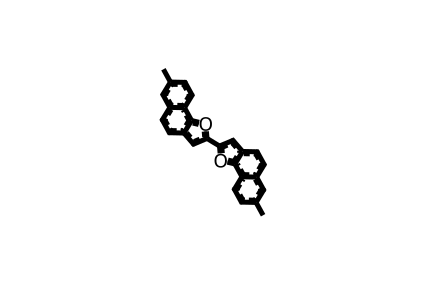 Cc1ccc2c(ccc3cc(-c4cc5ccc6cc(C)ccc6c5o4)oc32)c1